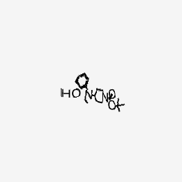 CCN(c1ccccc1O)C1CCN(C(=O)OC(C)(C)C)CC1